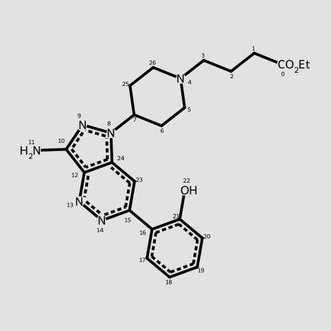 CCOC(=O)CCCN1CCC(n2nc(N)c3nnc(-c4ccccc4O)cc32)CC1